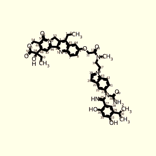 CCc1c2c(nc3ccc(OCC(=O)N(C)CCn4ccc5cc(N(C(=N)c6cc(C(C)C)c(O)cc6O)C(N)=O)ccc54)cc13)-c1cc3c(c(=O)n1C2)COC(=O)C3(O)CC